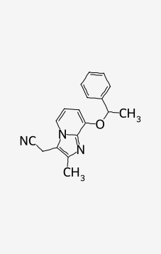 Cc1nc2c(OC(C)c3ccccc3)cccn2c1CC#N